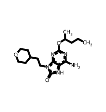 CCCC(C)Oc1nc(N)c2[nH]c(=O)n(CCC3CCOCC3)c2n1